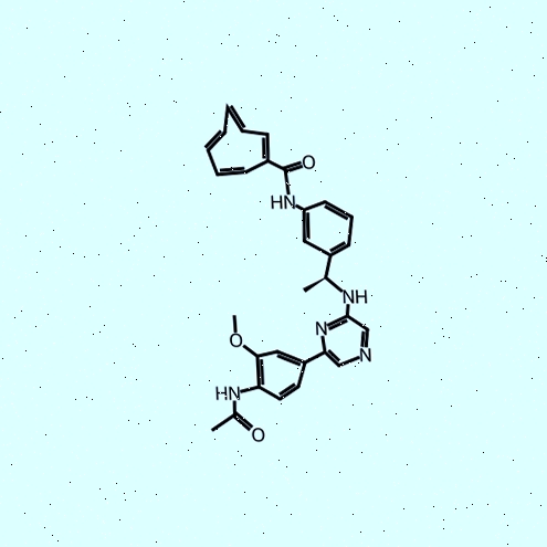 COc1cc(-c2cncc(N[C@@H](C)c3cccc(NC(=O)C4=C/C=C/C=C/C=C\4)c3)n2)ccc1NC(C)=O